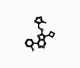 Cn1ncnc1COc1nc2c(-c3ccccc3F)nncn2c1C1CCC1